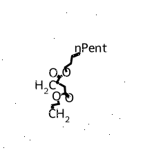 C=CCOC(=O)CC(=C)C(=O)OCCC=CCCCCC